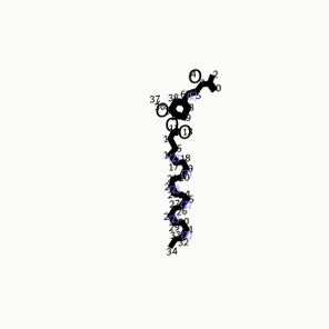 C=C(C)C(=O)/C=C/c1ccc(OC(=O)CC/C=C\C/C=C\C/C=C\C/C=C\C/C=C\C/C=C\CC)c(OC)c1